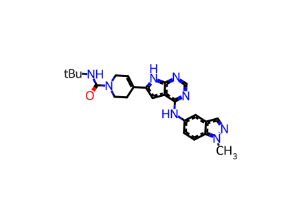 Cn1ncc2cc(Nc3ncnc4[nH]c(C5=CCN(C(=O)NC(C)(C)C)CC5)cc34)ccc21